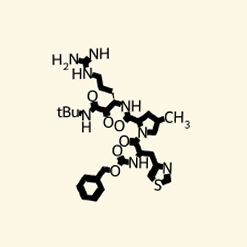 CC1CC(C(=O)N[C@@H](CCCNC(=N)N)C(=O)C(=O)NC(C)(C)C)N(C(=O)C(Cc2cscn2)NC(=O)OCc2ccccc2)C1